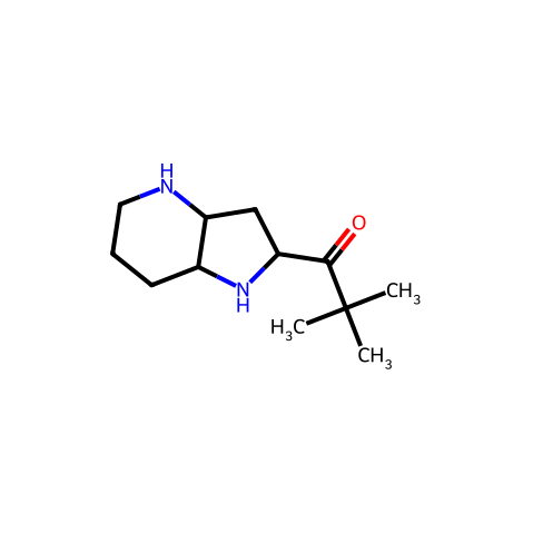 CC(C)(C)C(=O)C1CC2NCCCC2N1